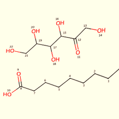 CCCCCCCCC(=O)O.O=C(CO)C(O)C(O)C(O)CO